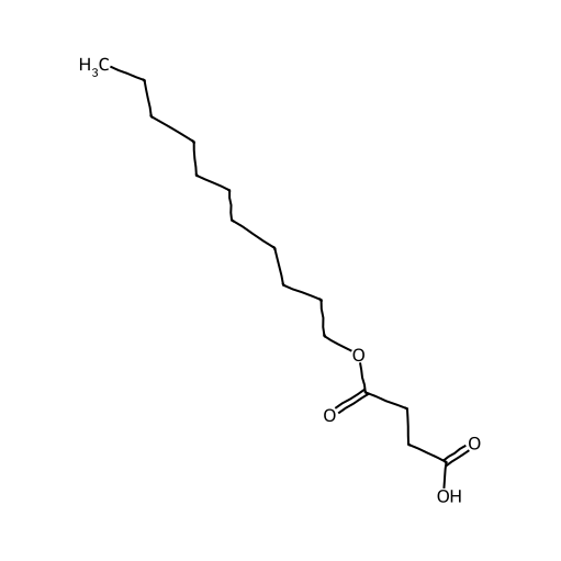 CCCCCCCCCCCOC(=O)CCC(=O)O